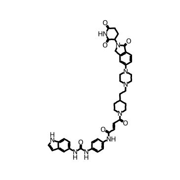 O=C(/C=C/C(=O)N1CCC(CCN2CCN(c3ccc4c(c3)CN(C3CCC(=O)NC3=O)C4=O)CC2)CC1)Nc1ccc(NC(=O)Nc2ccc3[nH]ccc3c2)cc1